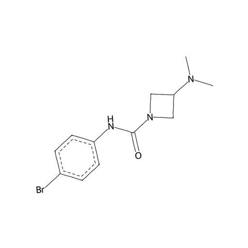 CN(C)C1CN(C(=O)Nc2ccc(Br)cc2)C1